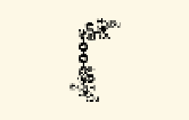 CC[C@@H](C)[C@H](NC(=O)OC(C)(C)C)C(=O)N1CCCC1c1ncc(-c2ccc(-c3ccc(-c4cnc([C@@H]5CCCN5C(=O)[C@@H](NC(=O)OC(C)(C)C)[C@H](C)CC)[nH]4)cc3)cc2)[nH]1